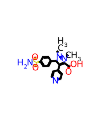 CCN1C(c2ccc(S(N)(=O)=O)cc2)C(c2ccncc2)=C(C(=O)O)N1C